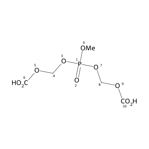 COP(=O)(OCOC(=O)O)OCOC(=O)O